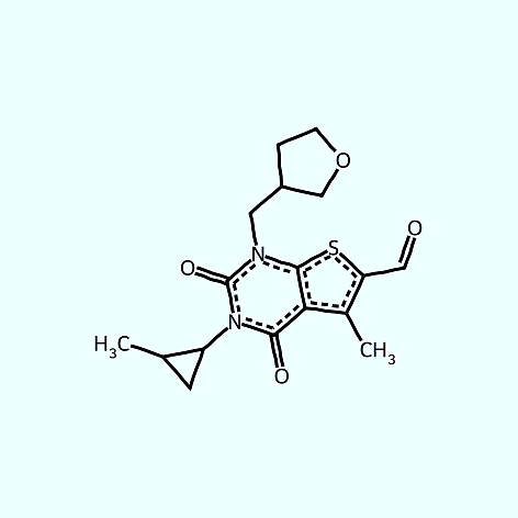 Cc1c(C=O)sc2c1c(=O)n(C1CC1C)c(=O)n2CC1CCOC1